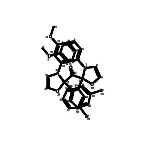 COc1cccc(N2C=COC2(C(=O)C2(c3cccc(Br)c3)OC=CN2c2cccc(OC)c2)c2cccc(Br)c2)c1